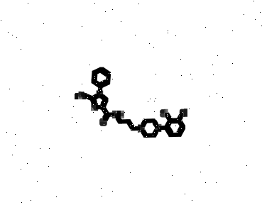 CCCc1nc(C(=O)NCCCN2CCN(c3cccc(Cl)c3Cl)CC2)cn1-c1ccccc1